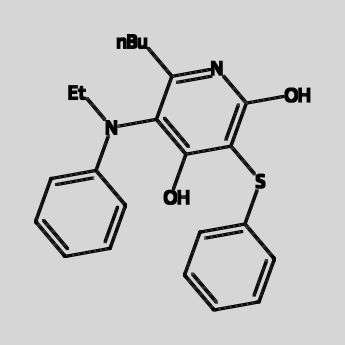 CCCCc1nc(O)c(Sc2ccccc2)c(O)c1N(CC)c1ccccc1